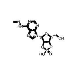 C=NNc1ncnc2c1ncn2[C@@H]1O[C@H](CO)C2OP(=O)(O)OC21